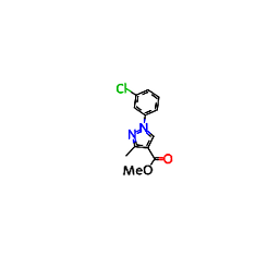 COC(=O)c1cn(-c2cccc(Cl)c2)nc1C